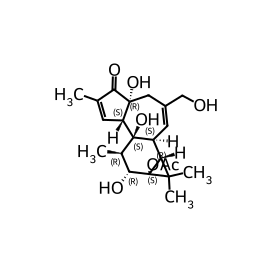 CC(=O)O[C@@]12[C@H](O)[C@@H](C)[C@@]3(O)[C@@H](C=C(CO)C[C@]4(O)C(=O)C(C)=C[C@@H]34)[C@@H]1C2(C)C